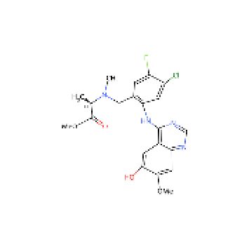 COC(=O)[C@@H](C)N(C)Cc1cc(F)c(Cl)cc1Nc1ncnc2cc(OC)c(O)cc12